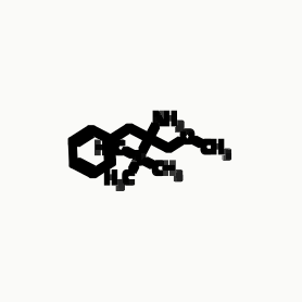 COCC(N)(Cc1ccccc1)[Si](C)(C)C